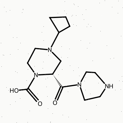 O=C([C@H]1CN(C2CCC2)CCN1C(=O)O)N1CCNCC1